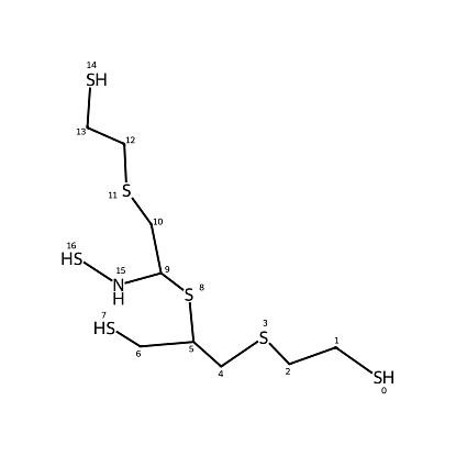 SCCSCC(CS)SC(CSCCS)NS